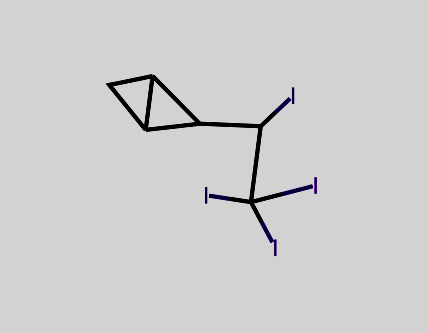 IC(C1C2CC21)C(I)(I)I